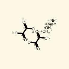 O.O.O=C([O-])C(=O)[O-].O=C([O-])C(=O)[O-].[Mn+2].[Ni+2]